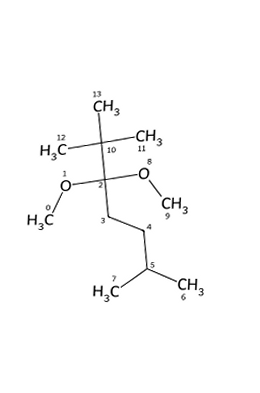 COC(CCC(C)C)(OC)C(C)(C)C